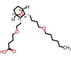 CCCCCCOCCCC[C@@H]1[C@H](CCOCCCC(=O)O)[C@@H]2CC[C@H]1O2